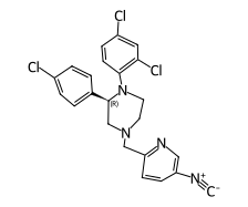 [C-]#[N+]c1ccc(CN2CCN(c3ccc(Cl)cc3Cl)[C@H](c3ccc(Cl)cc3)C2)nc1